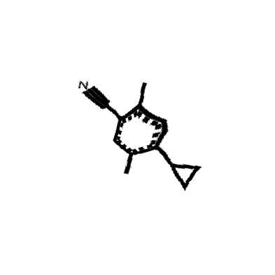 Cc1cc(C2CC2)c(C)cc1C#N